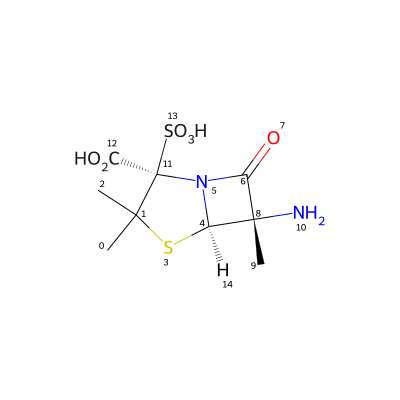 CC1(C)S[C@H]2N(C(=O)[C@]2(C)N)[C@]1(C(=O)O)S(=O)(=O)O